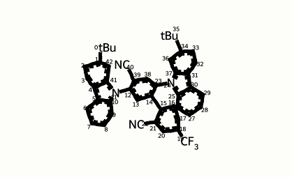 CC(C)(C)c1ccc2c3ccccc3n(-c3cc(-c4ccc(C(F)(F)F)cc4C#N)c(-n4c5ccccc5c5ccc(C(C)(C)C)cc54)cc3C#N)c2c1